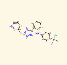 CC(F)(I)c1ccc(Nc2ccccc2-c2nnn(Cc3cccnc3)n2)cc1